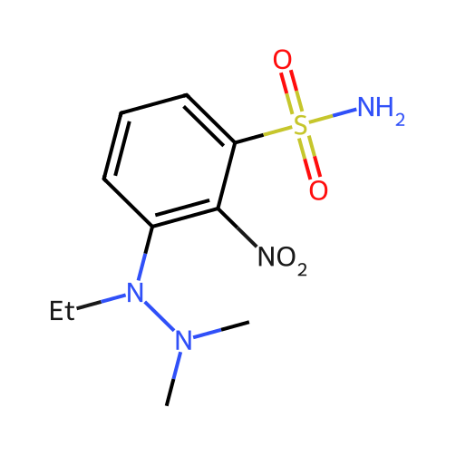 CCN(c1cccc(S(N)(=O)=O)c1[N+](=O)[O-])N(C)C